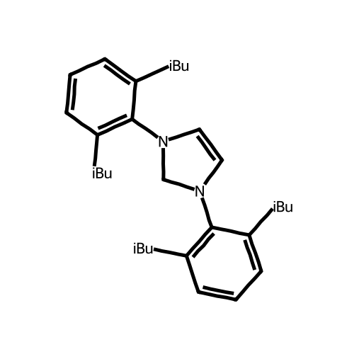 CCC(C)c1cccc(C(C)CC)c1N1C=CN(c2c(C(C)CC)cccc2C(C)CC)C1